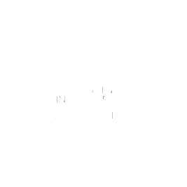 CC(C)(C)C(=O)NC1CC[C@H]2[C@@H]3CCC4CCCC[C@]4(C)[C@@H]3CC[C@]12C